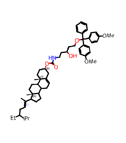 CCC(C/C=C(\C)C1CCC2C3CC=C4C[C@H](OC(=O)NCCC(O)CCOC(c5ccccc5)(c5ccc(OC)cc5)c5ccc(OC)cc5)CC[C@@]4(C)C3CC[C@@]12C)C(C)C